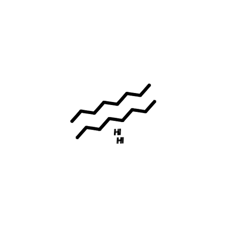 CCCCCCCC.CCCCCCCC.I.I